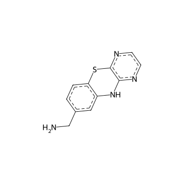 NCc1ccc2c(c1)Nc1nccnc1S2